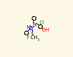 CCCCn1c(CN(Cc2ccccc2)Cc2ccc(O)cc2Cl)cnc1-c1cccc(F)c1